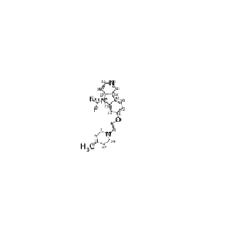 CC1CCN(CCOc2ccc3c4cnccc4n(C(F)F)c3c2)CC1